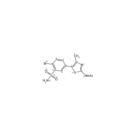 CC(=O)Nc1nc(C)c(-c2ccc(Br)c(S(N)(=O)=O)c2)s1